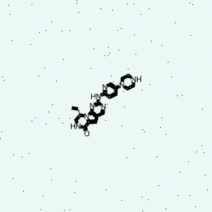 CC[C@H]1CNC(=O)c2cc3cnc(Nc4ccc(N5CCNCC5)cn4)nc3n21